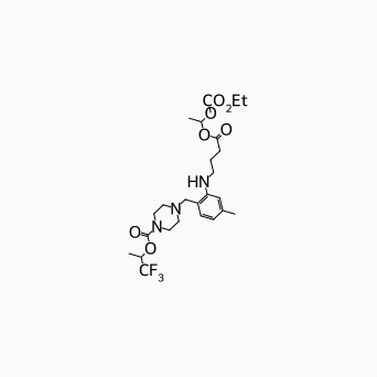 CCOC(=O)OC(C)OC(=O)CCCNc1cc(C)ccc1CN1CCN(C(=O)OC(C)C(F)(F)F)CC1